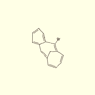 BrC1=C2C=CC=CC(=Cc3ccccc31)C2